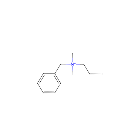 [CH2]CC[N+](C)(C)Cc1ccccc1